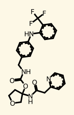 O=C(Cc1ccccn1)NC1(OC(=O)NCc2ccc(Nc3ccccc3C(F)(F)F)cc2)CCOC1